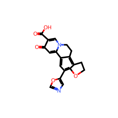 O=C(O)c1cn2c(cc1=O)-c1cc(-c3cnco3)c3c(c1CC2)CCO3